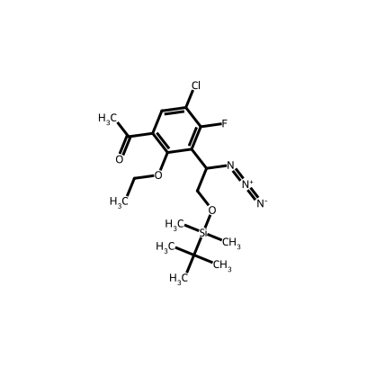 CCOc1c(C(C)=O)cc(Cl)c(F)c1C(CO[Si](C)(C)C(C)(C)C)N=[N+]=[N-]